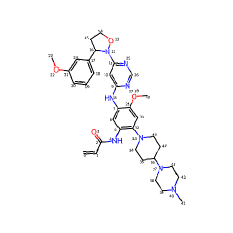 C=CC(=O)Nc1cc(Nc2cc(N3OCCC3c3cccc(OC)c3)ncn2)c(OC)cc1N1CCC(N2CCN(C)CC2)CC1